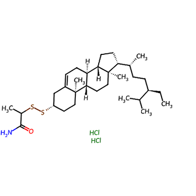 CC[C@H](CC[C@@H](C)[C@H]1CC[C@H]2[C@@H]3CC=C4C[C@@H](SSC(C)C(N)=O)CC[C@]4(C)[C@H]3CC[C@]12C)C(C)C.Cl.Cl